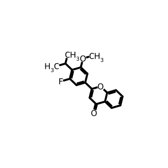 COc1cc(-c2cc(=O)c3ccccc3o2)cc(F)c1C(C)C